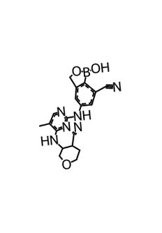 Cc1cnc(Nc2cc(C#N)c3c(c2)COB3O)nc1NC1COCCC1C#N